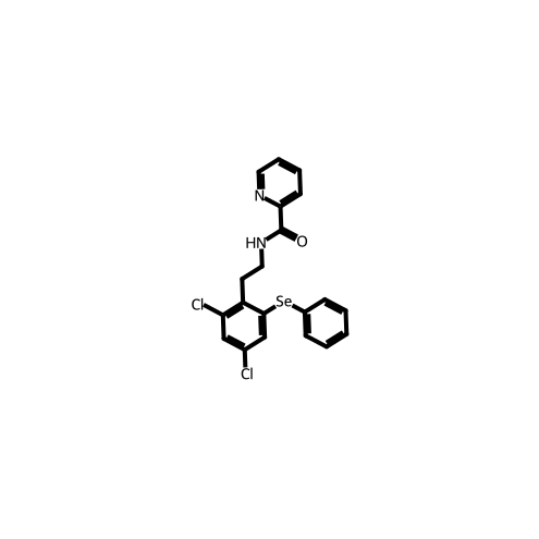 O=C(NCCc1c(Cl)cc(Cl)cc1[Se]c1ccccc1)c1ccccn1